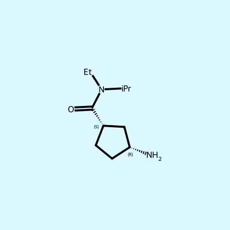 CCN(C(=O)[C@H]1CC[C@@H](N)C1)C(C)C